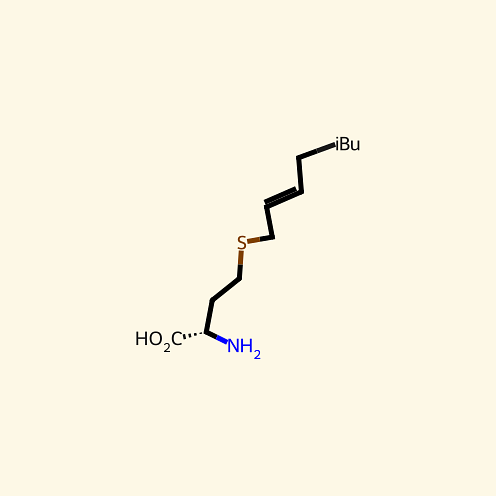 CCC(C)C/C=C/CSCC[C@H](N)C(=O)O